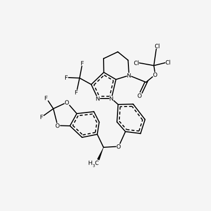 C[C@H](Oc1cccc(-n2nc(C(F)(F)F)c3c2N(C(=O)OC(Cl)(Cl)Cl)CCC3)c1)c1ccc2c(c1)OC(F)(F)O2